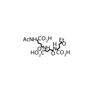 CCC(=O)CC[C@H](NC(=O)CC[C@H](NC(=O)CC[C@H](NC(C)=O)C(=O)O)C(=O)O)C(=O)O